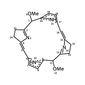 COC1C2=N/C(=C\c3ccc([nH]3)C(OC)C3=N/C(=C\c4ccc1[nH]4)CC3)CC2